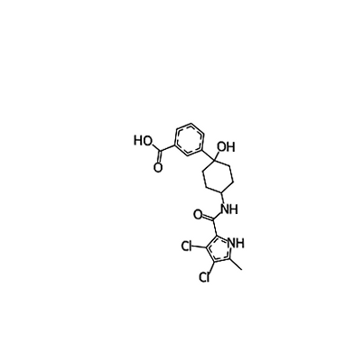 Cc1[nH]c(C(=O)NC2CCC(O)(c3cccc(C(=O)O)c3)CC2)c(Cl)c1Cl